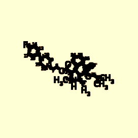 CC1=C(C(=O)OCCN2CCN(c3ccc(F)cc3)CC2)C(c2ccccc2[N+](=O)[O-])C(C(=O)OCC(C)C)=C(C)N1